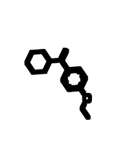 C=C(c1ccc(OCC)cc1)C1CCCCC1